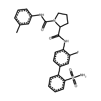 Cc1cccc(NC(=O)N2CCCC2C(=O)Nc2ccc(-c3ccccc3S(N)(=O)=O)cc2F)c1